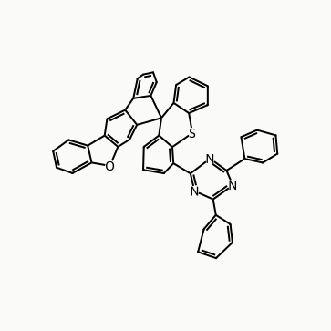 c1ccc(-c2nc(-c3ccccc3)nc(-c3cccc4c3Sc3ccccc3C43c4ccccc4-c4cc5c(cc43)oc3ccccc35)n2)cc1